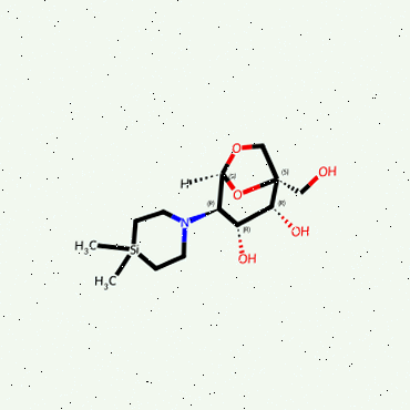 C[Si]1(C)CCN([C@H]2[C@H]3OC[C@](CO)(O3)[C@H](O)[C@@H]2O)CC1